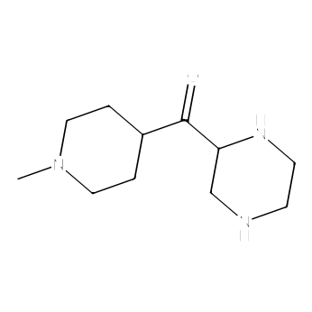 CN1CCC(C(=O)C2CNCCN2)CC1